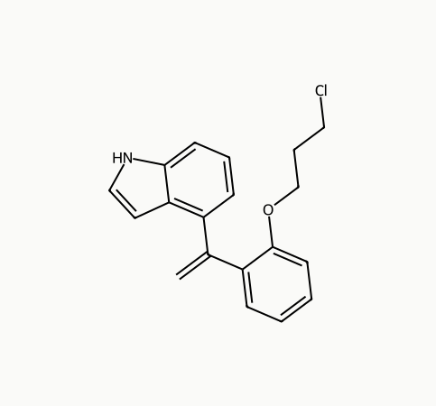 C=C(c1ccccc1OCCCCl)c1cccc2[nH]ccc12